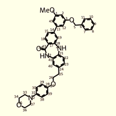 COc1cc(OCc2ccccc2)cc(-c2ccc3c(c2)Nc2ccc(CCOc4ccc(N5CCOCC5)cc4)cc2NC3=O)c1